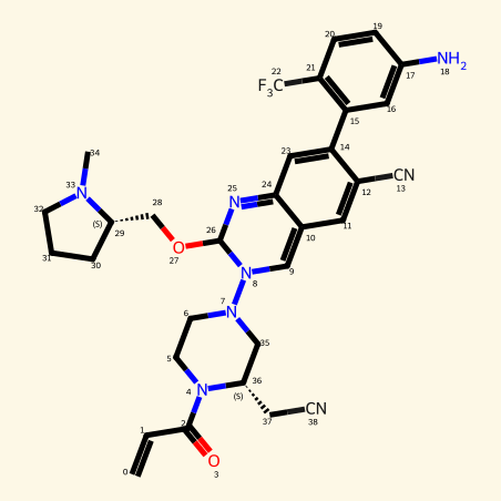 C=CC(=O)N1CCN(N2C=c3cc(C#N)c(-c4cc(N)ccc4C(F)(F)F)cc3=NC2OC[C@@H]2CCCN2C)C[C@@H]1CC#N